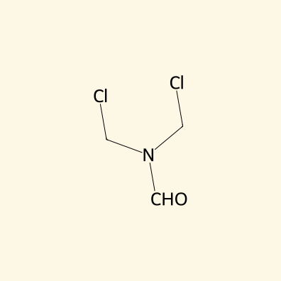 O=CN(CCl)CCl